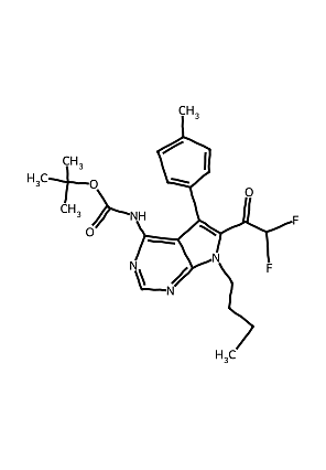 CCCCn1c(C(=O)C(F)F)c(-c2ccc(C)cc2)c2c(NC(=O)OC(C)(C)C)ncnc21